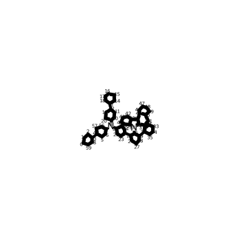 c1ccc(-c2ccc(N(c3ccc(-c4ccccc4)cc3)c3ccc(-c4cccc(-c5ccccc5)c4-n4c5ccccc5c5c6ccccc6ccc54)cc3)cc2)cc1